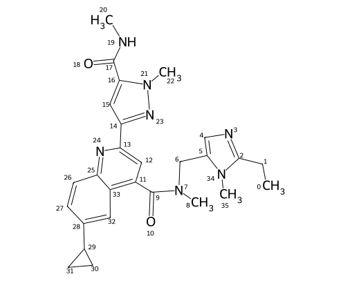 CCc1ncc(CN(C)C(=O)c2cc(-c3cc(C(=O)NC)n(C)n3)nc3ccc(C4CC4)cc23)n1C